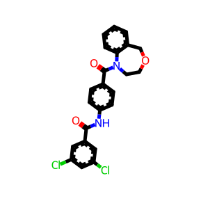 O=C(Nc1ccc(C(=O)N2CCOCc3ccccc32)cc1)c1cc(Cl)cc(Cl)c1